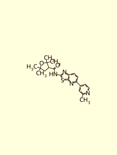 Cc1cc(-c2ccc3nc(NC(=O)C4CC(C)(C)OC4(C)C)sc3n2)ccn1